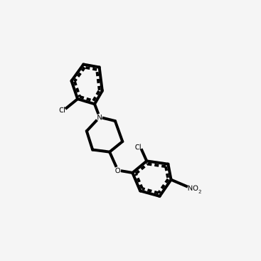 O=[N+]([O-])c1ccc(OC2CCN(c3ccccc3Cl)CC2)c(Cl)c1